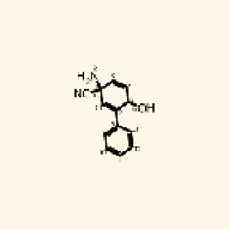 N#CC1(N)C=CC(O)C(c2ccccc2)=C1